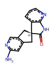 Nc1cc2c(cn1)C[C@]1(C2)C(=O)Nc2ncccc21